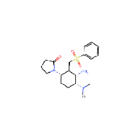 CC(C)N(C)[C@@H]1CC[C@H](N2CCCC2=O)[C@@H](CS(=O)(=O)c2ccccc2)[C@@H]1N